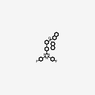 O=P(c1cccc(-c2ccc(-c3nc(-c4ccc(F)cc4)nc(-c4ccc(F)cc4)n3)cc2)c1)(c1ccc2ccccc2c1)c1ccc2ccccc2c1